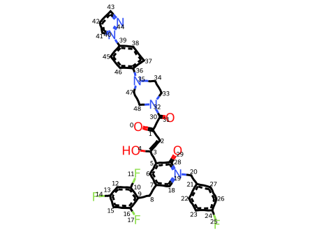 O=C(C=C(O)c1cc(Cc2c(F)cc(F)cc2F)cn(Cc2ccc(F)cc2)c1=O)C(=O)N1CCN(c2ccc(-n3cccn3)cc2)CC1